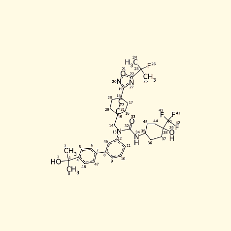 CC(C)(O)c1ccc(-c2cccc(N(CC34CCC(c5noc(C(C)(C)F)n5)(CC3)CC4)C(=O)NC3CCC(O)(C(F)(F)F)CC3)c2)cc1